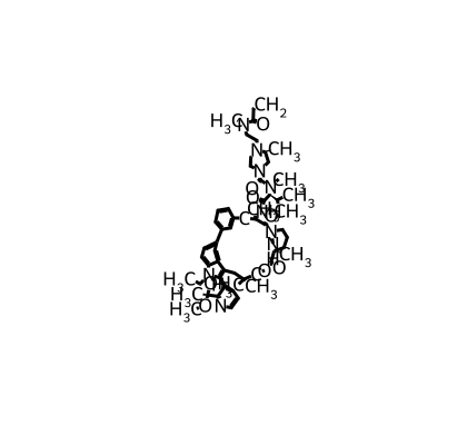 C=CC(=O)N(C)CCN1CCN(C(=O)N(C)[C@H](C(=O)NC2(C)Cc3cccc(c3)-c3ccc4c(c3)c(c(-c3cccnc3[C@@](C)(O)OC)n4CC)CC(C)(C)COC(=O)[C@]3(C)CCCN(N3)C2=O)C(C)C)C[C@H]1C